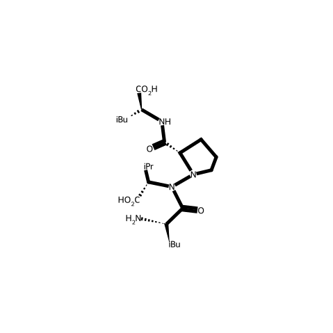 CC[C@H](C)[C@H](N)C(=O)N([C@H](C(=O)O)C(C)C)N1CCC[C@H]1C(=O)N[C@H](C(=O)O)[C@@H](C)CC